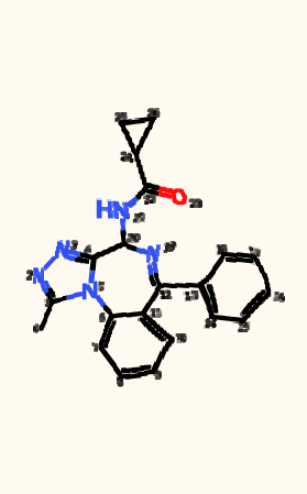 Cc1nnc2n1-c1ccccc1C(c1ccccc1)=NC2NC(=O)C1CC1